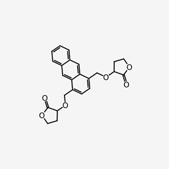 O=C1OCCC1OCc1ccc(COC2CCOC2=O)c2cc3ccccc3cc12